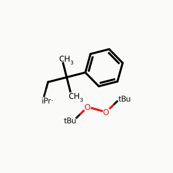 CC(C)(C)OOC(C)(C)C.C[C](C)CC(C)(C)c1ccccc1